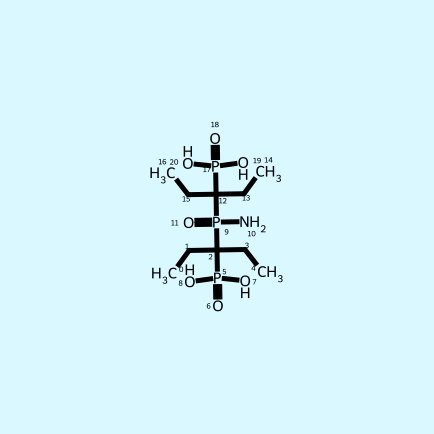 CCC(CC)(P(=O)(O)O)P(N)(=O)C(CC)(CC)P(=O)(O)O